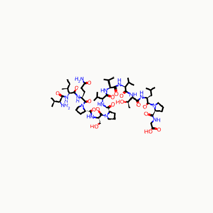 CC[C@H](C)[C@H](NC(=O)[C@@H](N)C(C)C)C(=O)N[C@@H](CCC(N)=O)C(=O)N1CCC[C@H]1C(=O)N[C@@H](CO)C(=O)N1CCC[C@H]1C(=O)N[C@H](C(=O)N[C@H](C(=O)N[C@H](C(=O)N[C@H](C(=O)N[C@@H](CC(C)C)C(=O)N1CCC[C@H]1C(=O)NCC(=O)O)[C@@H](C)O)C(C)C)C(C)C)C(C)C